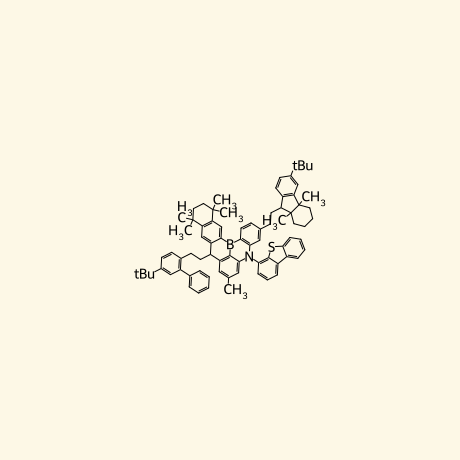 Cc1cc2c3c(c1)N(c1cccc4c1sc1ccccc14)c1cc(CCC4c5ccc(C(C)(C)C)cc5C5(C)CCCCC45C)ccc1B3c1cc3c(cc1C2CCc1ccc(C(C)(C)C)cc1-c1ccccc1)C(C)(C)CCC3(C)C